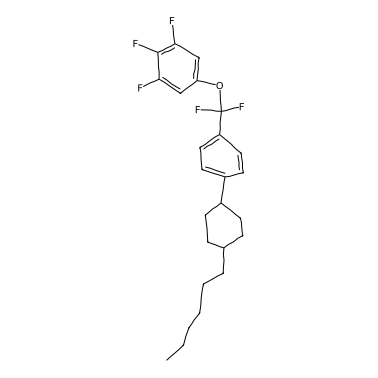 CCCCCCC1CCC(c2ccc(C(F)(F)Oc3cc(F)c(F)c(F)c3)cc2)CC1